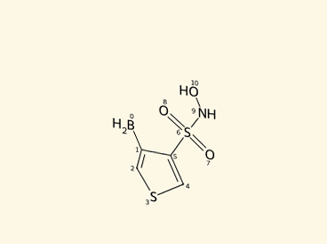 Bc1cscc1S(=O)(=O)NO